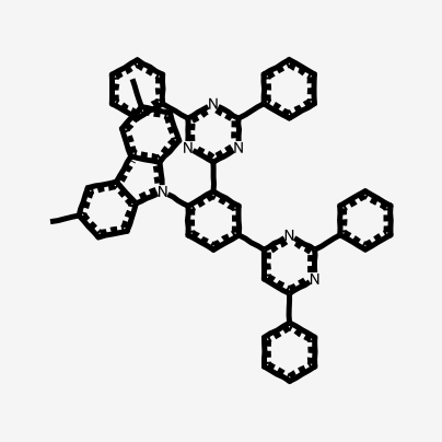 Cc1ccc2c(c1)c1cc(C)ccc1n2-c1ccc(-c2cc(-c3ccccc3)nc(-c3ccccc3)n2)cc1-c1nc(-c2ccccc2)nc(-c2ccccc2)n1